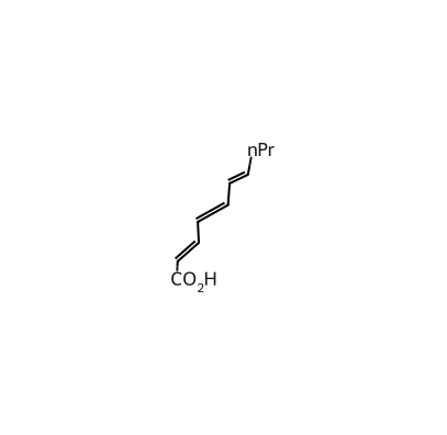 CCCC=CC=CC=CC(=O)O